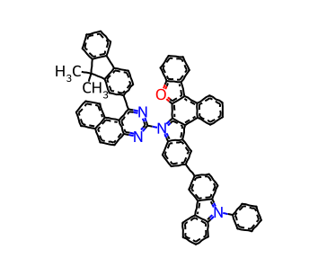 CC1(C)c2ccccc2-c2ccc(-c3nc(-n4c5ccc(-c6ccc7c(c6)c6ccccc6n7-c6ccccc6)cc5c5c6ccccc6c6c7ccccc7oc6c54)nc4ccc5ccccc5c34)cc21